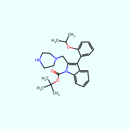 CC(C)Oc1ccccc1-c1c(CN2CCNCC2)n(C(=O)OC(C)(C)C)c2ccccc12